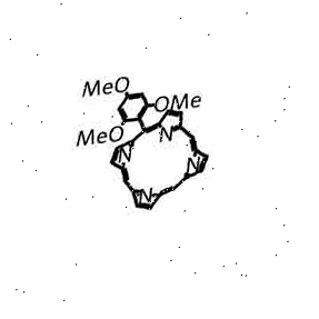 COc1cc(OC)c(C2=C3C=CC(=N3)C=C3C=CC(=N3)C=C3C=CC(=N3)C=C3C=CC2=N3)c(OC)c1